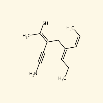 C/C=C\C(=C/CC)C/C(C#CN)=C(/C)S